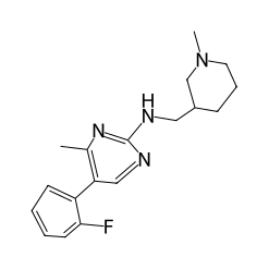 Cc1nc(NCC2CCCN(C)C2)ncc1-c1ccccc1F